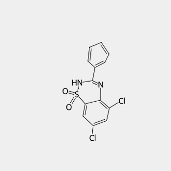 O=S1(=O)NC(c2ccccc2)=Nc2c(Cl)cc(Cl)cc21